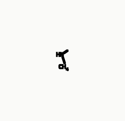 C.CNC